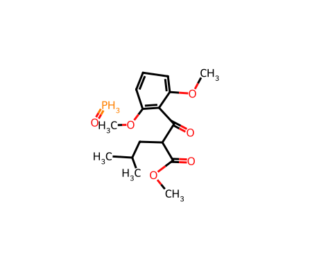 COC(=O)C(CC(C)C)C(=O)c1c(OC)cccc1OC.O=[PH3]